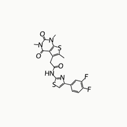 Cc1sc2c(c1CC(=O)Nc1nc(-c3ccc(F)c(F)c3)cs1)c(=O)n(C)c(=O)n2C